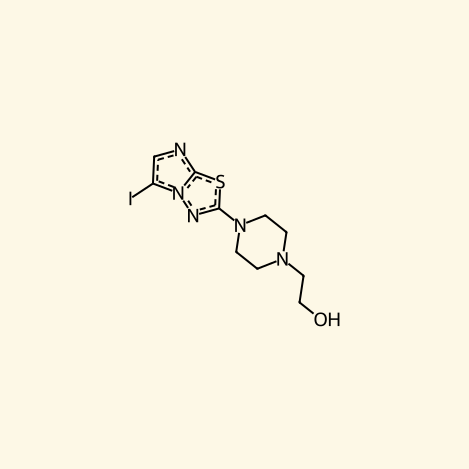 OCCN1CCN(c2nn3c(I)cnc3s2)CC1